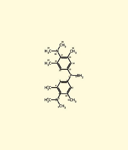 BP(c1cc(C)c(N(C)C)c(C)c1)c1cc(C)c(N(C)C)c(C)c1